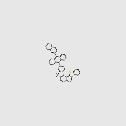 CC1(C)c2cc(-c3c4ccccc4c(-c4ccc5ccccc5c4)c4ccccc34)ccc2-c2c1ccc1ccc3c4ccccc4sc3c21